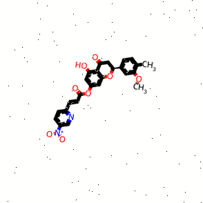 COc1cc([C@@H]2CC(=O)c3c(O)cc(OC(=O)/C=C/c4ccc([N+](=O)[O-])cn4)cc3O2)ccc1C